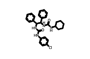 O=C(Nc1ccc(Cl)cc1)NC(c1ccccc1)C(NC(=O)NC1CCCCC1)c1ccccc1